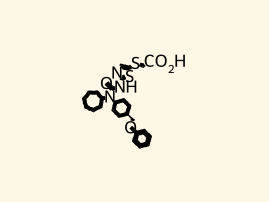 O=C(O)CSc1cnc(NC(=O)N(C2CCCCCC2)[C@H]2CC[C@H](COc3ccccc3)CC2)s1